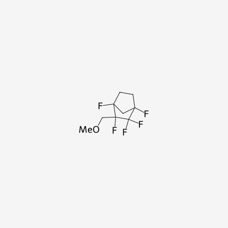 COCC1(F)C2(F)CCC(F)(C2)C1(F)F